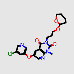 Cn1c(=O)n(CCCOC2CCCCO2)c(=O)c2cc(Oc3cncc(Cl)c3)cnc21